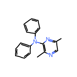 Cc1cnc(C)c(N(c2ccccc2)c2ccccc2)n1